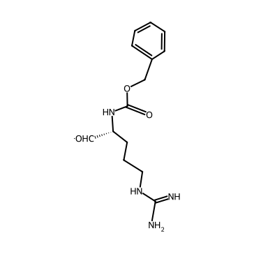 N=C(N)NCCC[C@H]([C]=O)NC(=O)OCc1ccccc1